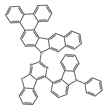 c1ccc(-n2c3ccccc3c3c(-c4nc(-n5c6cc7ccccc7cc6c6c7c8ccccc8c8ccccc8c7ccc65)nc5sc6ccccc6c45)cccc32)cc1